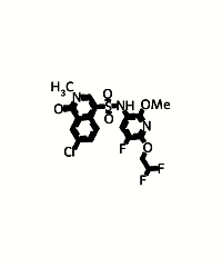 COc1nc(OCC(F)F)c(F)cc1NS(=O)(=O)c1cn(C)c(=O)c2cc(Cl)ccc12